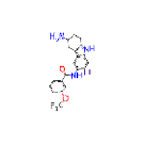 I.NC1CCc2[nH]c3ccc(NC(=O)c4cccc(OC(F)(F)F)c4)cc3c2C1